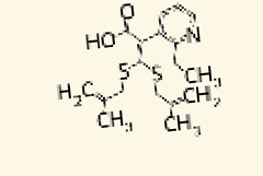 C=C(C)CSC(SCC(=C)C)=C(C(=O)O)c1cccnc1CC